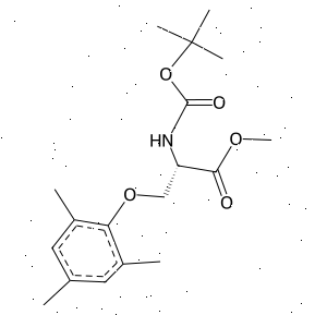 COC(=O)[C@H](COc1c(C)cc(C)cc1C)NC(=O)OC(C)(C)C